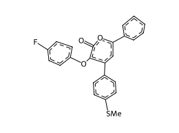 CSc1ccc(-c2cc(-c3ccccc3)oc(=O)c2Oc2ccc(F)cc2)cc1